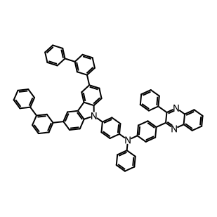 c1ccc(-c2cccc(-c3ccc4c(c3)c3cc(-c5cccc(-c6ccccc6)c5)ccc3n4-c3ccc(N(c4ccccc4)c4ccc(-c5nc6ccccc6nc5-c5ccccc5)cc4)cc3)c2)cc1